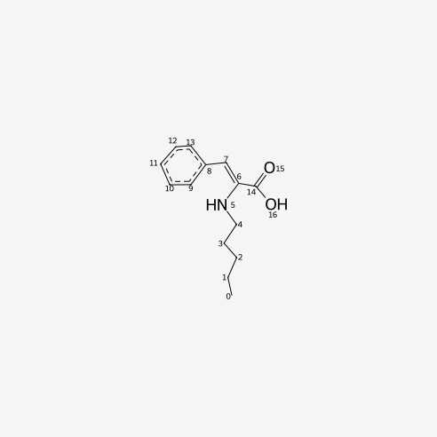 CCCCCNC(=Cc1ccccc1)C(=O)O